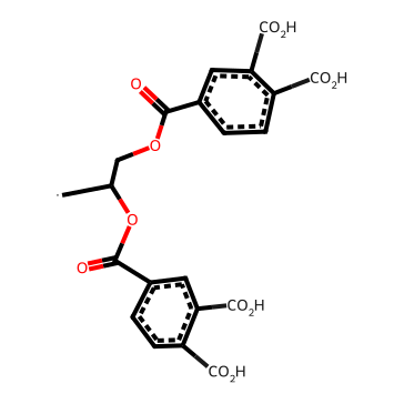 [CH2]C(COC(=O)c1ccc(C(=O)O)c(C(=O)O)c1)OC(=O)c1ccc(C(=O)O)c(C(=O)O)c1